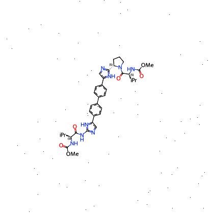 COC(=O)N[C@H](C(=O)Nc1ncc(-c2ccc(-c3ccc(-c4cnc([C@@H]5CCCN5C(=O)[C@@H](NC(=O)OC)C(C)C)[nH]4)cc3)cc2)[nH]1)C(C)C